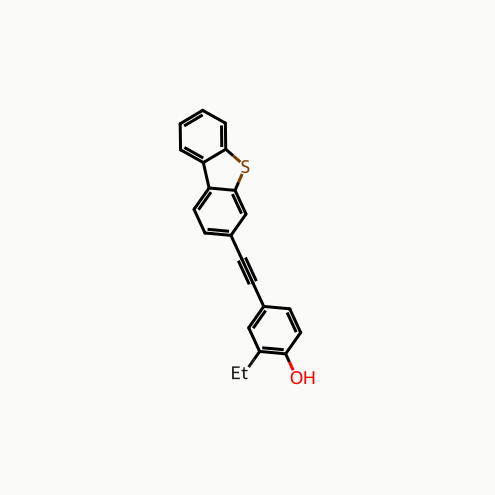 CCc1cc(C#Cc2ccc3c(c2)sc2ccccc23)ccc1O